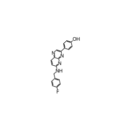 Oc1ccc(-c2cnc3ccc(NCc4ccc(F)cc4)nc3n2)cc1